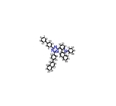 c1ccc(-c2ccc(-c3nc(-c4ccc(-c5ccc6ccccc6c5)cc4)nc(-c4cccc5c4c4ccc6ccccc6c4n5-c4ccccc4)n3)cc2)cc1